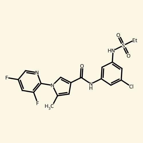 CCS(=O)(=O)Nc1cc(Cl)cc(NC(=O)c2cc(C)n(-c3ncc(F)cc3F)c2)c1